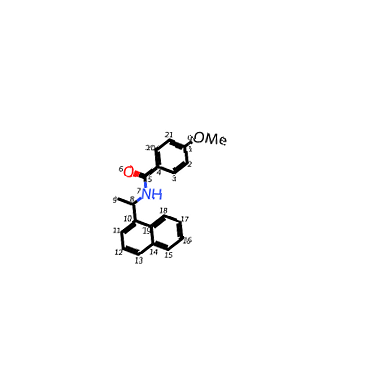 COc1ccc(C(=O)NC(C)c2cccc3ccccc23)cc1